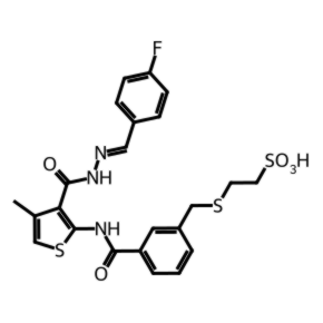 Cc1csc(NC(=O)c2cccc(CSCCS(=O)(=O)O)c2)c1C(=O)NN=Cc1ccc(F)cc1